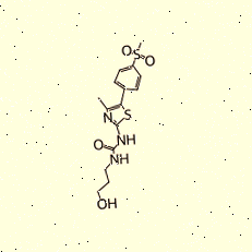 Cc1nc(NC(=O)NCCCO)sc1-c1ccc(S(C)(=O)=O)cc1